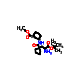 CCOC(=O)[C@@H]1CCC[C@H](NC(=O)C2(CC(N)C(=O)OC(C)(C)C)CCCC2)C1